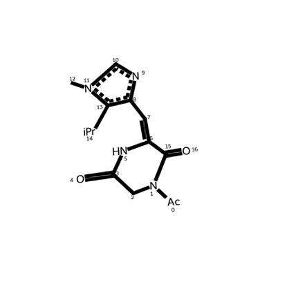 CC(=O)N1CC(=O)NC(=Cc2ncn(C)c2C(C)C)C1=O